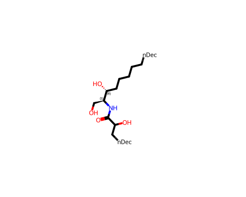 CCCCCCCCCCCCCCC[C@@H](O)[C@H](CO)NC(=O)C(O)CCCCCCCCCCC